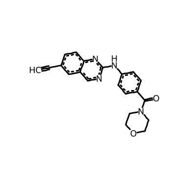 C#Cc1ccc2nc(Nc3ccc(C(=O)N4CCOCC4)cc3)ncc2c1